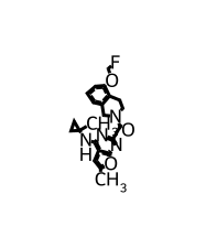 Cc1cc2c(NC3(C)CC3)nc(C(=O)N3CCc4c(cccc4OCF)C3)nc2o1